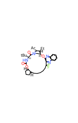 CC[C@@H]1[C@@H]2CN(C(=O)[C@H](C(C)(C)C)NC(=O)O[C@@H]3CCC[C@H]3CCCCCC(F)(F)c3nc4ccccc4nc3O2)[C@@H]1C(C)=O